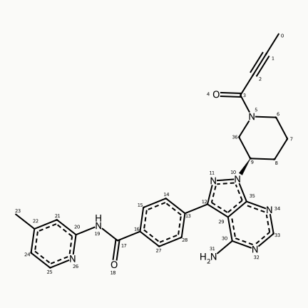 CC#CC(=O)N1CCC[C@@H](n2nc(-c3ccc(C(=O)Nc4cc(C)ccn4)cc3)c3c(N)ncnc32)C1